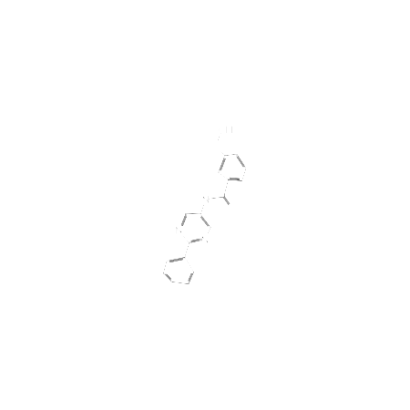 COc1cccc(C(=O)Nc2cnc(-c3ccccc3)nc2)c1